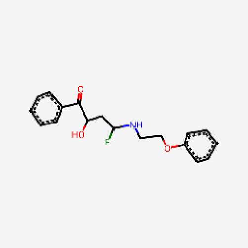 O=C(c1ccccc1)C(O)CC(F)NCCOc1ccccc1